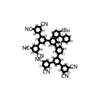 CC(C)(C)c1ccccc1-c1ccccc1-n1c2ccc(-c3cc(-c4cc(C#N)cc(C#N)c4)cc(-c4cc(C#N)cc(C#N)c4)c3)cc2c2cc(-c3cc(-c4cc(C#N)cc(C#N)c4)cc(-c4cc(C#N)cc(C#N)c4)c3)ccc21